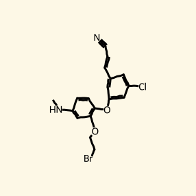 CNc1ccc(Oc2cc(Cl)cc(/C=C/C#N)c2)c(OCCBr)c1